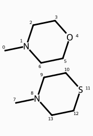 CN1CCOCC1.CN1CCSCC1